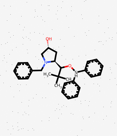 CC(C)(C)C(O[SiH](c1ccccc1)c1ccccc1)[C@@H]1C[C@@H](O)CN1Cc1ccccc1